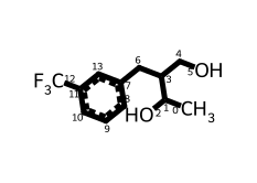 CC(O)C(CO)Cc1cccc(C(F)(F)F)c1